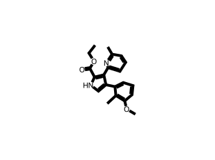 CCOC(=O)c1[nH]cc(-c2cccc(OC)c2C)c1-c1cccc(C)n1